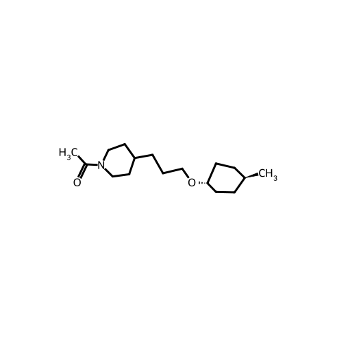 CC(=O)N1CCC(CCCO[C@H]2CC[C@H](C)CC2)CC1